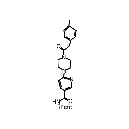 CCCC(C)NC(=O)c1ccc(N2CCN(C(=O)Cc3ccc(C)cc3)CC2)nc1